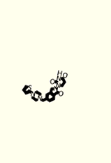 O=C1CCN(N2Cc3cc(CN4CCN(c5cccs5)CC4)ccc3C2=O)C(=O)N1